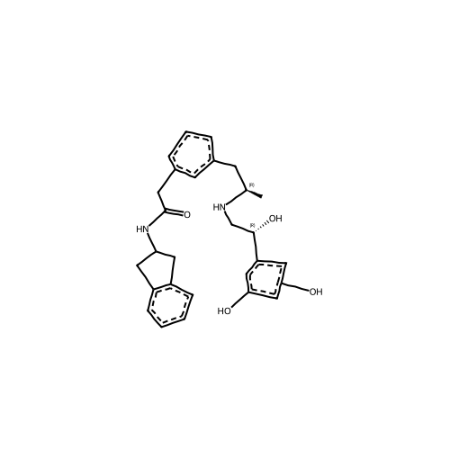 C[C@H](Cc1cccc(CC(=O)NC2Cc3ccccc3C2)c1)NC[C@H](O)c1cc(O)cc(O)c1